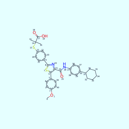 COc1ccc(-c2sc(-c3ccc(SC(C)(C)C(=O)O)cc3)nc2C(=O)Nc2ccc(C3CCCCC3)cc2)cc1